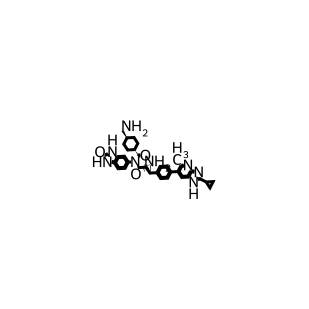 Cc1nc2nc(C3CC3)[nH]c2cc1-c1ccc(C[C@H](N)C(=O)N(c2ccc3[nH]c(=O)[nH]c3c2)C(=O)[C@H]2CC[C@H](CN)CC2)cc1